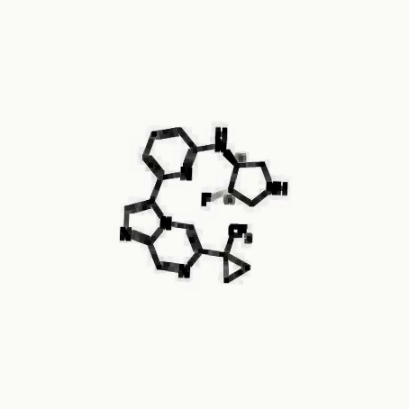 F[C@H]1CNC[C@@H]1Nc1cccc(-c2cnc3cnc(C4(C(F)(F)F)CC4)cn23)n1